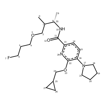 CC(COCCCF)[C@H](C)NC(=O)c1ccc(N2CCCC2)c(OCC2CC2)n1